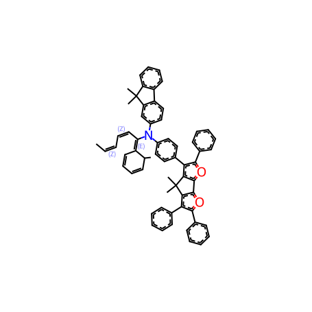 C\C=C/C=C\C(=C1/C=CC=CC1C)N(c1ccc(-c2c(-c3ccccc3)oc3c2C(C)(C)c2c-3oc(-c3ccccc3)c2-c2ccccc2)cc1)c1ccc2c(c1)C(C)(C)c1ccccc1-2